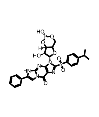 CC(C)c1ccc(S(=O)(=O)c2nc3c(=O)n4cc(-c5ccccc5)[nH]c4nc3n2[C@@H]2OC3COP(O)O[C@H]3[C@@H]2O)cc1